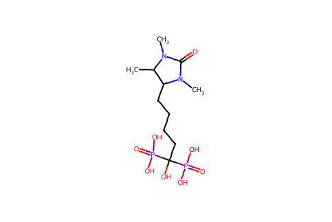 CC1C(CCCCC(O)(P(=O)(O)O)P(=O)(O)O)N(C)C(=O)N1C